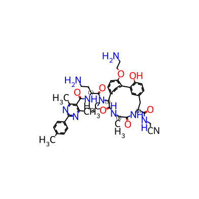 Cc1ccc(-c2nc(C)c(C(=O)N[C@@H](CCN)C(=O)N(C)[C@@H]3C(=O)N[C@@H](C)C(=O)N[C@H](C(=O)NCC#N)Cc4ccc(O)c(c4)-c4cc3ccc4OCCN)c(C)n2)cc1